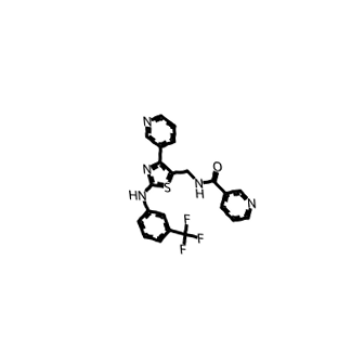 O=C(NCc1sc(Nc2cccc(C(F)(F)F)c2)nc1-c1cccnc1)c1cccnc1